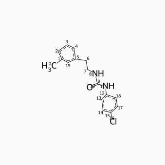 Cc1cccc(CCNC(=O)Nc2ccc(Cl)cc2)c1